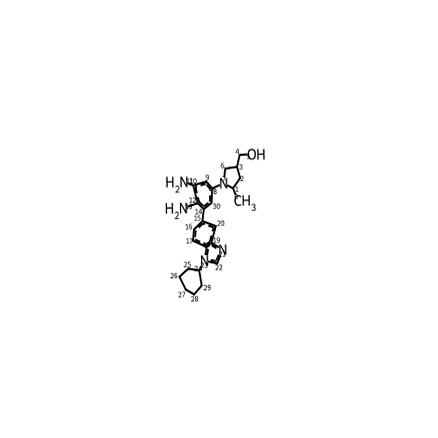 CC1CC(CO)CN1c1cc(N)c(N)c(-c2ccc3c(c2)ncn3C2CCCCC2)c1